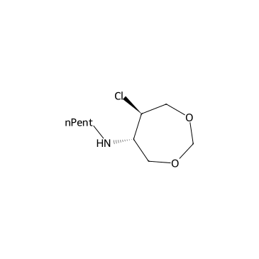 CCCCCN[C@H]1COCOC[C@@H]1Cl